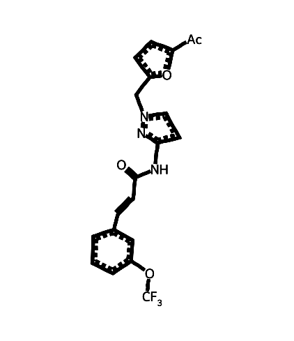 CC(=O)c1ccc(Cn2ccc(NC(=O)C=Cc3cccc(OC(F)(F)F)c3)n2)o1